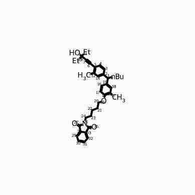 CCCCC(c1ccc(C#CC(O)(CC)CC)c(C)c1)c1ccc(OCCCCCN2C(=O)c3ccccc3C2=O)c(C)c1